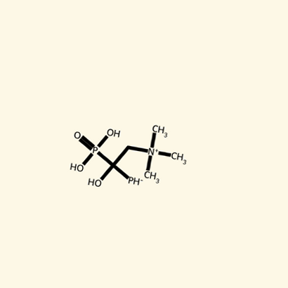 C[N+](C)(C)CC(O)([PH-])P(=O)(O)O